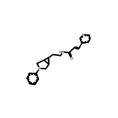 O=C(/C=C/c1cccnc1)NCCC1C2CN(c3ccccc3)CC12